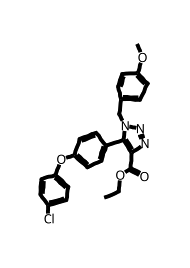 CCOC(=O)c1nnn(Cc2ccc(OC)cc2)c1-c1ccc(Oc2ccc(Cl)cc2)cc1